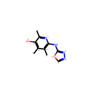 Cc1nc(Nc2nnco2)c(C)c(C)c1O